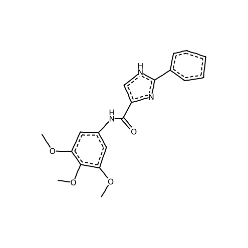 COc1cc(NC(=O)c2c[nH]c(-c3ccccc3)n2)cc(OC)c1OC